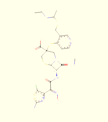 CCNC(C)SCc1cnccc1SC1(C(=O)O)CS[C@@H]2[C@H](NC(=O)C(=NO)c3nc(N)sc3Cl)C(=O)N2C1.CN